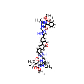 CCCN(Cc1ncc(-c2ccc3c(c2)COc2cc4c(ccc5nc([C@@H]6C[C@H]7[C@@H](C)[C@H]7N6C(=O)[C@@H](NC(=O)OC)C(C)C)[nH]c54)cc2-3)[nH]1)C(=O)[C@H](NC(=O)OC)c1ccccc1